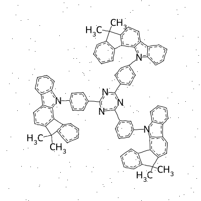 CC1(C)c2ccccc2-c2c1ccc1c3ccccc3n(-c3ccc(-c4nc(-c5ccc(-n6c7ccccc7c7ccc8c(c76)-c6ccccc6C8(C)C)cc5)nc(-c5cccc(-n6c7ccccc7c7ccc8c(c76)-c6ccccc6C8(C)C)c5)n4)cc3)c21